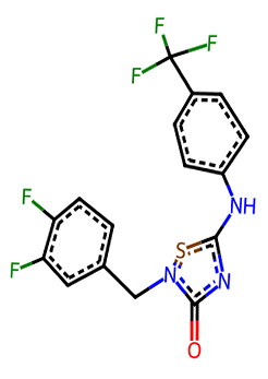 O=c1nc(Nc2ccc(C(F)(F)F)cc2)sn1Cc1ccc(F)c(F)c1